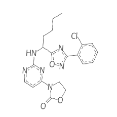 CCCCC(Nc1nccc(N2CCOC2=O)n1)c1nc(-c2ccccc2Cl)no1